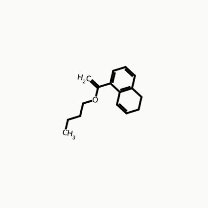 C=C(OCCCC)c1cccc2c1C=CCC2